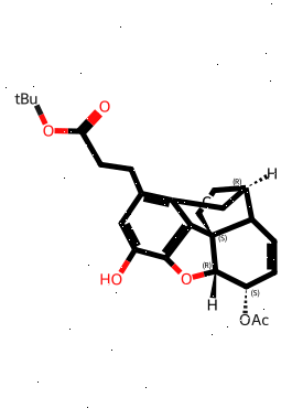 CC(=O)O[C@H]1C=CC2[C@@H]3CCC[C@@]24c2c(c(CCC(=O)OC(C)(C)C)cc(O)c2O[C@@H]14)C3